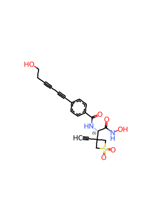 C#CC1([C@H](NC(=O)c2ccc(C#CC#CCCO)cc2)C(=O)NO)CS(=O)(=O)C1